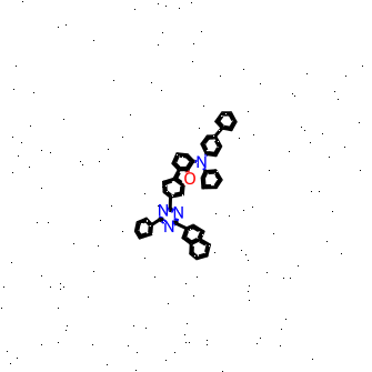 c1ccc(-c2ccc(N(c3ccccc3)c3cccc4c3oc3cc(-c5nc(-c6ccccc6)nc(-c6ccc7ccccc7c6)n5)ccc34)cc2)cc1